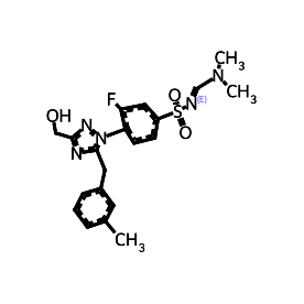 Cc1cccc(Cc2nc(CO)nn2-c2ccc(S(=O)(=O)/N=C/N(C)C)cc2F)c1